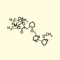 CCOC(=O)[C@H](Cc1ccccc1OCc1ccnc(-c2cccnc2OC)n1)O[Si](C)(C)C(C)(C)C